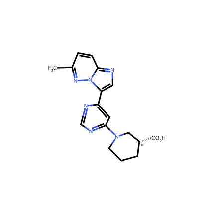 O=C(O)[C@@H]1CCCN(c2cc(-c3cnc4ccc(C(F)(F)F)nn34)ncn2)C1